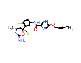 CC#CCOc1cnc(C(=O)Nc2ccc(F)c([C@]3(CF)C[C@@H](C(F)(F)F)N=C(N)O3)c2)cn1